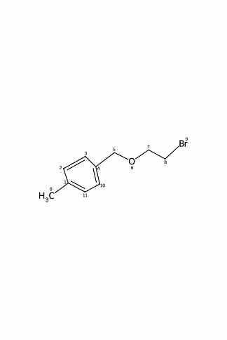 Cc1ccc(COCCBr)cc1